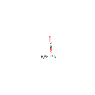 C.O=C=O.[PbH2]